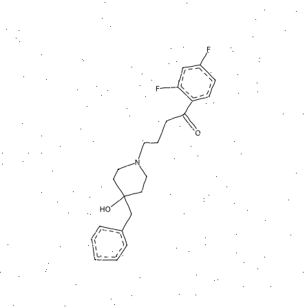 O=C(CCCN1CCC(O)(Cc2ccccc2)CC1)c1ccc(F)cc1F